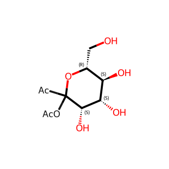 CC(=O)OC1(C(C)=O)O[C@H](CO)[C@@H](O)[C@H](O)[C@@H]1O